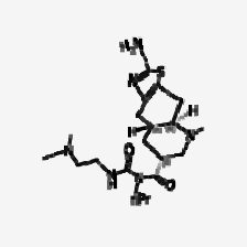 CCCN(C(=O)NCCN(C)C)C(=O)[C@@H]1C[C@@H]2Cc3nc(N)sc3C[C@H]2N(C)C1